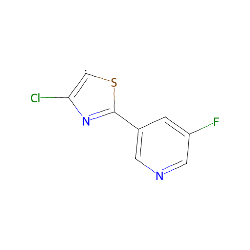 Fc1cncc(-c2nc(Cl)[c]s2)c1